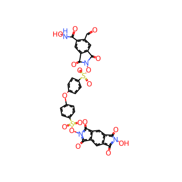 O=Cc1cc2c(cc1C(=O)NO)C(=O)N(OS(=O)(=O)c1ccc(Oc3ccc(S(=O)(=O)On4c(=O)c5cc6c(=O)n(O)c(=O)c6cc5c4=O)cc3)cc1)C2=O